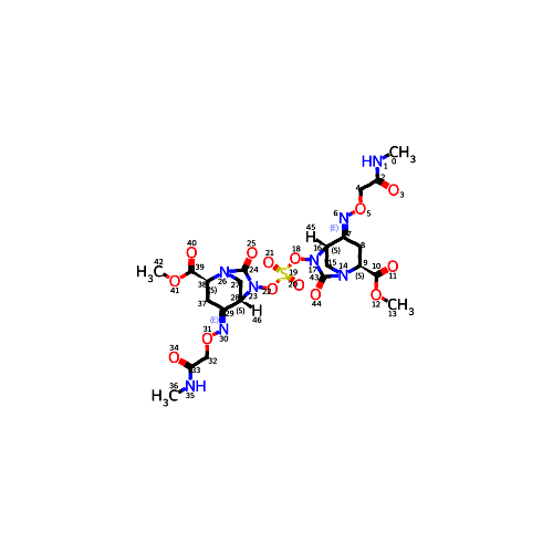 CNC(=O)CO/N=C1\C[C@@H](C(=O)OC)N2C[C@@H]1N(OS(=O)(=O)ON1C(=O)N3C[C@H]1/C(=N/OCC(=O)NC)C[C@H]3C(=O)OC)C2=O